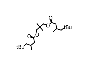 CC(CC(=O)OCC(C)(C)COC(=O)CC(C)CC(C)(C)C)CC(C)(C)C